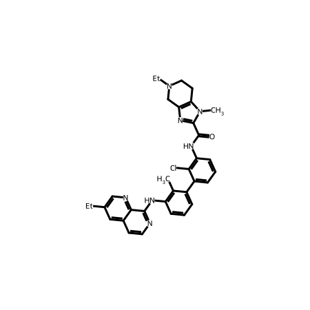 CCc1cnc2c(Nc3cccc(-c4cccc(NC(=O)c5nc6c(n5C)CCN(CC)C6)c4Cl)c3C)nccc2c1